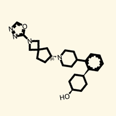 O[C@H]1CC[C@@H](c2ccccc2C2CCN([C@@H]3CCC4(C3)CN(c3nnco3)C4)CC2)CC1